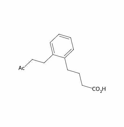 CC(=O)CCc1ccccc1CCCC(=O)O